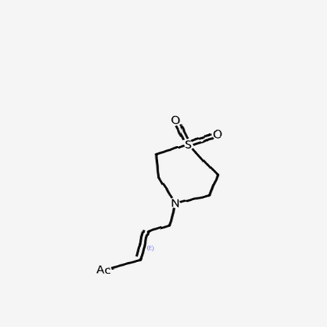 CC(=O)/C=C/CN1CCS(=O)(=O)CC1